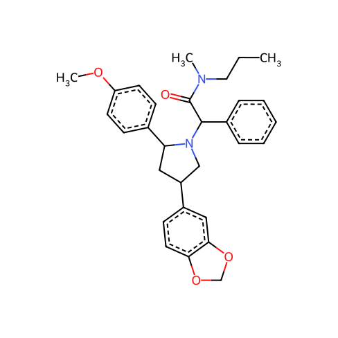 CCCN(C)C(=O)C(c1ccccc1)N1CC(c2ccc3c(c2)OCO3)CC1c1ccc(OC)cc1